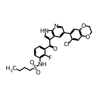 CCCCS(=O)(=O)Nc1cccc(C(=O)c2c[nH]c3ncc(-c4cc5c(cc4Cl)OCCO5)cc23)c1F